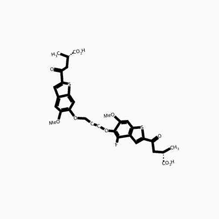 COc1cc2cc(C(=O)C[C@H](C)C(=O)O)sc2cc1OCCCOc1c(OC)cc2sc(C(=O)C[C@H](C)C(=O)O)cc2c1F